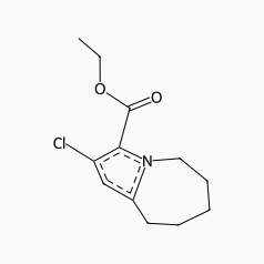 CCOC(=O)c1c(Cl)cc2n1CCCCC2